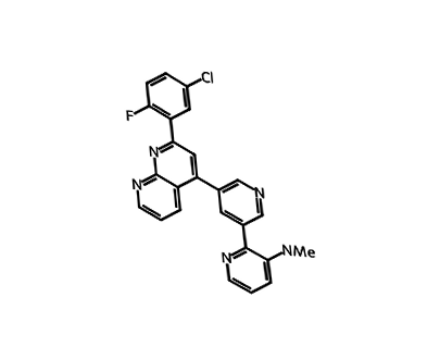 CNc1cccnc1-c1cncc(-c2cc(-c3cc(Cl)ccc3F)nc3ncccc23)c1